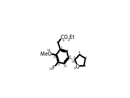 CCOC(=O)Cc1cc([C@@H]2CCCO2)cc(F)c1OC